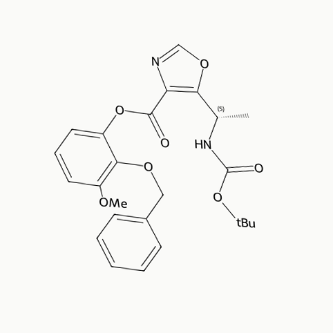 COc1cccc(OC(=O)c2ncoc2[C@H](C)NC(=O)OC(C)(C)C)c1OCc1ccccc1